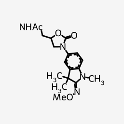 CON=C1N(C)c2ccc(N3CC(CNC(C)=O)OC3=O)cc2C1(C)C